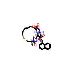 CC(C)[C@H]1NC(=O)CC2/C=C/CCSSC[C@@H](NC1=O)C(=O)N[C@@H](Cc1cccc3ccccc13)C(=O)NCC(=O)O2